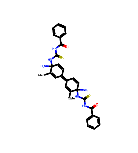 COC1=CC(=C2C=CC(N)(NC(=S)NC(=O)c3ccccc3)C(OC)=C2)C=CC1(N)NC(=S)NC(=O)c1ccccc1